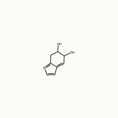 OC1C=C2C=CN=C2CC1O